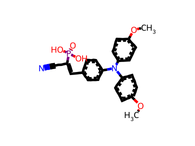 COc1ccc(N(c2ccc(C=C(C#N)P(=O)(O)O)cc2)c2ccc(OC)cc2)cc1